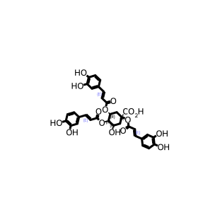 O=C(/C=C/c1ccc(O)c(O)c1)O[C@@H]1[C@H](O)C[C@@](OC(=O)/C=C/c2ccc(O)c(O)c2)(C(=O)O)C[C@H]1OC(=O)/C=C/c1ccc(O)c(O)c1